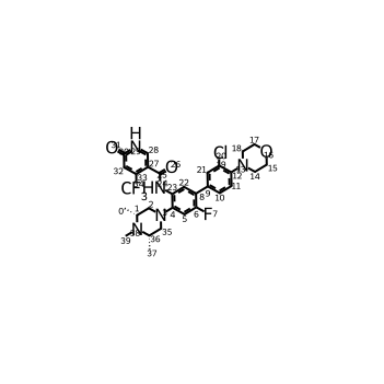 C[C@@H]1CN(c2cc(F)c(-c3ccc(N4CCOCC4)c(Cl)c3)cc2NC(=O)c2c[nH]c(=O)cc2C(F)(F)F)C[C@H](C)N1C